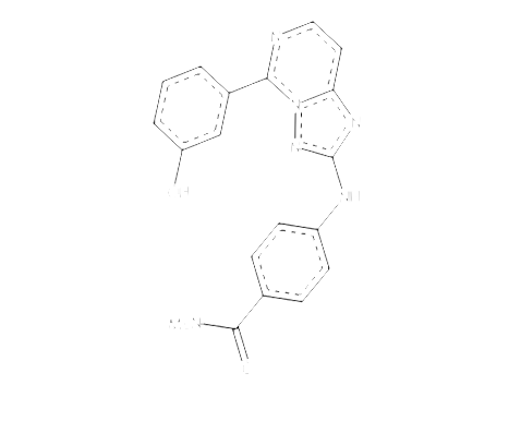 CNC(=O)c1ccc(Nc2nc3ccnc(-c4cccc(O)c4)n3n2)cc1